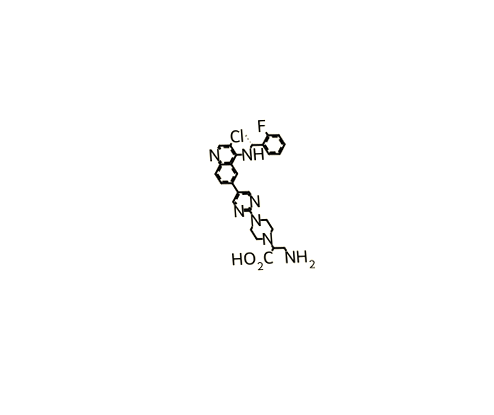 C[C@@H](Nc1c(Cl)cnc2ccc(-c3cnc(N4CCN(C(CN)C(=O)O)CC4)nc3)cc12)c1ccccc1F